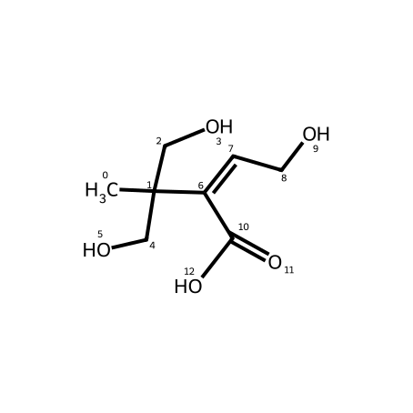 CC(CO)(CO)C(=CCO)C(=O)O